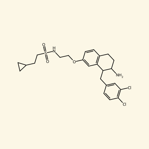 NC1CCc2ccc(OCCNS(=O)(=O)CCC3CC3)cc2C1Cc1ccc(Cl)c(Cl)c1